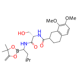 C=C1OB(C(CC(C)C)NC(=O)[C@H](CO)NC(=O)C2CCc3ccc(OC)c(OC)c3C2)OC1(C)C